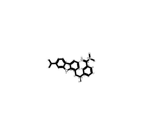 CC(C)c1ccc2c(c1)oc1c(C[C@H](C)c3cccc(C(=O)N(C)C)c3)cccc12